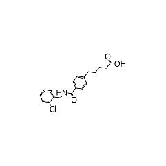 O=C(O)CCCCc1ccc(C(=O)NCc2ccccc2Cl)cc1